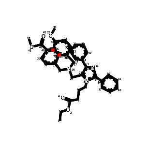 CCOC(=O)CCCn1c(-c2ccccc2)nc(-c2ccccc2)c1CN(Cc1ccc(OC)cc1)Cc1ccc(C(=O)OC)cc1